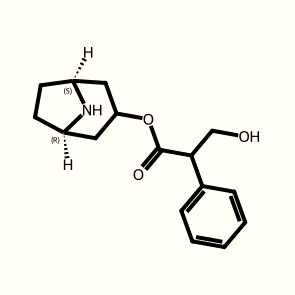 O=C(OC1C[C@H]2CC[C@@H](C1)N2)C(CO)c1ccccc1